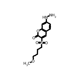 COCCCCS(=O)(=O)c1cc2ccc(NN)cc2oc1=O